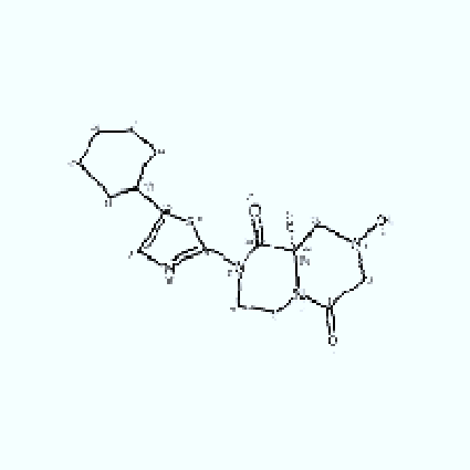 N#CN1CC(=O)N2CCN(c3ncc(C4CCCCC4)s3)C(=O)[C@H]2C1